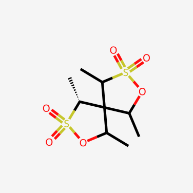 CC1OS(=O)(=O)C(C)C12C(C)OS(=O)(=O)[C@@H]2C